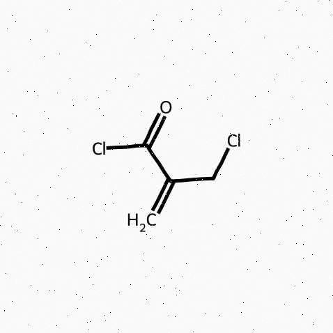 C=C(CCl)C(=O)Cl